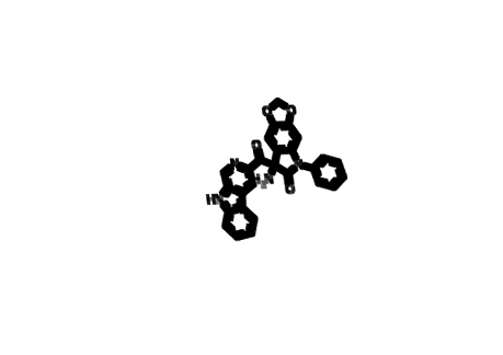 NC1(C(=O)c2cc3c(cn2)[nH]c2ccccc23)C(=O)N(c2ccccc2)c2cc3c(cc21)OCO3